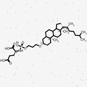 CC(C)CCC[C@@H](C)[C@H]1CCC2C3CCC4C[C@@H](OCCCOP(=O)(O)N[C@@H](CCC(=O)O)C(=O)O)CC[C@]4(C)C3CC[C@@]21C